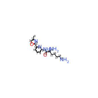 Cc1coc(-c2cccc(NC(=O)[C@@H](N)CCCCN)n2)n1